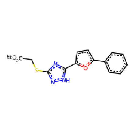 CCOC(=O)CSc1n[nH]c(-c2ccc(-c3ccccc3)o2)n1